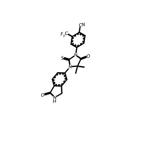 CC1(C)C(=O)N(c2ccc(C#N)c(C(F)(F)F)c2)C(=S)N1c1ccc2c(c1)CNC2=O